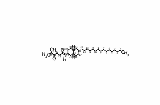 CCCCCCCCCCCCCCCC[C@@H]1CC[C@H]2C[C@@H](NC(=O)CCC(=O)C(C)C)CC[C@@H]2C1